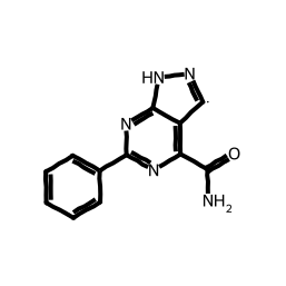 NC(=O)c1nc(-c2ccccc2)nc2[nH]n[c]c12